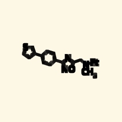 CCN(C)Cc1nc(-c2ccc(-c3ccsc3)cc2)no1